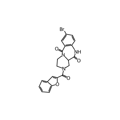 O=C1Nc2ccc(Br)cc2C(=O)N2CCN(C(=O)c3cc4ccccc4o3)CC12